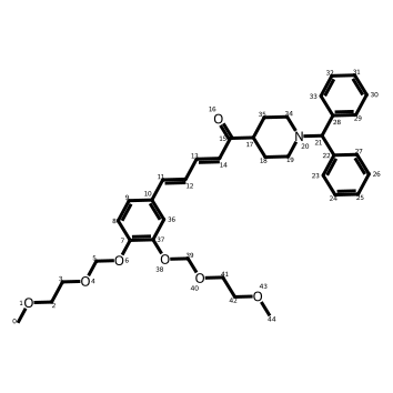 COCCOCOc1ccc(/C=C/C=C/C(=O)C2CCN(C(c3ccccc3)c3ccccc3)CC2)cc1OCOCCOC